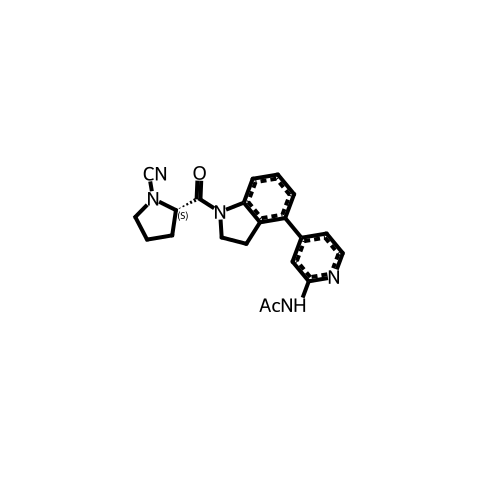 CC(=O)Nc1cc(-c2cccc3c2CCN3C(=O)[C@@H]2CCCN2C#N)ccn1